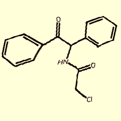 O=C(CCl)NC(C(=O)c1ccccc1)c1ccccc1